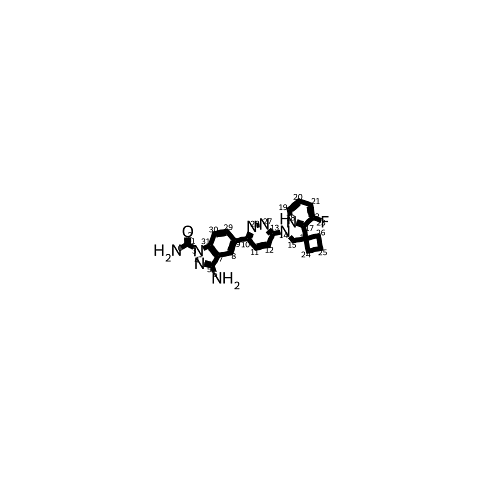 NC(=O)n1nc(N)c2cc(-c3ccc(NCC4(c5ncccc5F)CCC4)nn3)ccc21